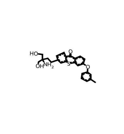 Cc1cccc(Oc2ccc3c(=O)c4ccc(CCC(N)(CO)CO)cc4sc3c2)c1